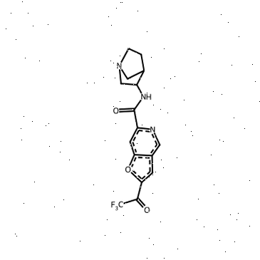 O=C(NC1CN2CCC1C2)c1cc2oc(C(=O)C(F)(F)F)cc2cn1